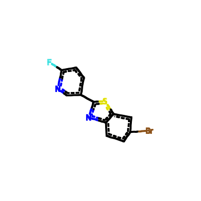 Fc1ccc(-c2nc3ccc(Br)cc3s2)cn1